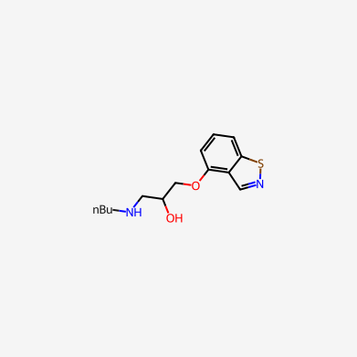 CCCCNCC(O)COc1cccc2sncc12